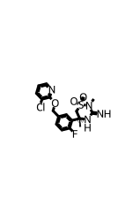 CN1C(=N)N[C@](C)(c2cc(COc3ncccc3Cl)ccc2F)CS1(=O)=O